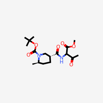 COC(=O)C(NC(=O)[C@@H]1CC[C@@H](C)N(C(=O)OC(C)(C)C)C1)C(C)=O